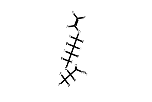 NC(=O)C(F)(OC(F)(F)C(F)(F)C(F)(F)C(F)(F)OC(F)=C(F)F)C(F)(F)F